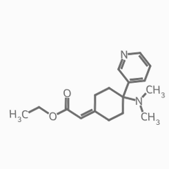 CCOC(=O)C=C1CCC(c2cccnc2)(N(C)C)CC1